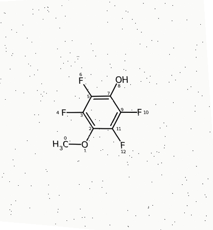 COc1c(F)c(F)c(O)c(F)c1F